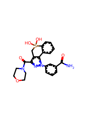 NC(=O)c1cccc(-n2nc(C(=O)N3CCOCC3)c3c2-c2ccccc2S(O)(O)C3)c1